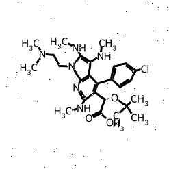 CNc1nc2c(c(NC)c(NC)n2CCN(C)C)c(-c2ccc(Cl)cc2)c1[C@H](OC(C)(C)C)C(=O)O